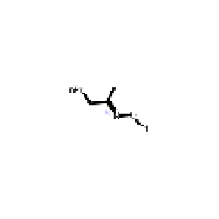 CCCC/C(C)=N/OCC